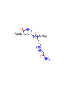 CN[C@@H](CCCCNC(=O)[C@H](CCCCNCNCC(=O)CN)NC)C(N)=O